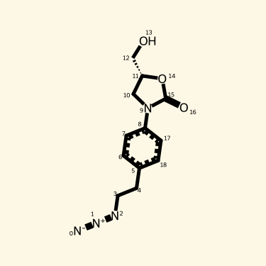 [N-]=[N+]=NCCc1ccc(N2C[C@H](CO)OC2=O)cc1